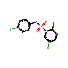 O=S(=O)(Nc1ccc(F)cc1)c1cc(Br)ccc1Cl